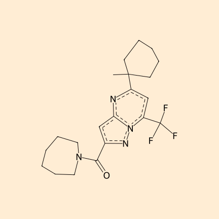 CC1(c2cc(C(F)(F)F)n3nc(C(=O)N4CCCCCC4)cc3n2)CCCCC1